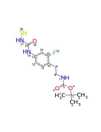 CC(C)(C)OC(=O)NCCc1ccc(NC(=O)NS)cc1F